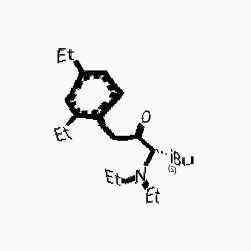 CCc1ccc(CC(=O)C([C@@H](C)CC)N(CC)CC)c(CC)c1